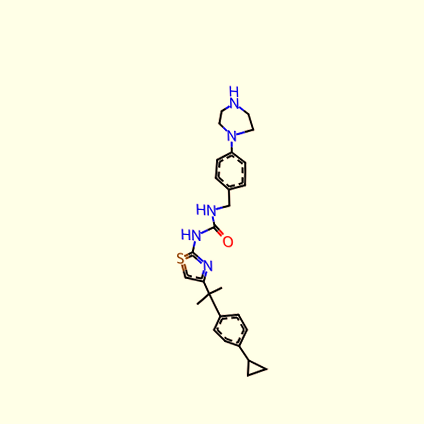 CC(C)(c1ccc(C2CC2)cc1)c1csc(NC(=O)NCc2ccc(N3CCNCC3)cc2)n1